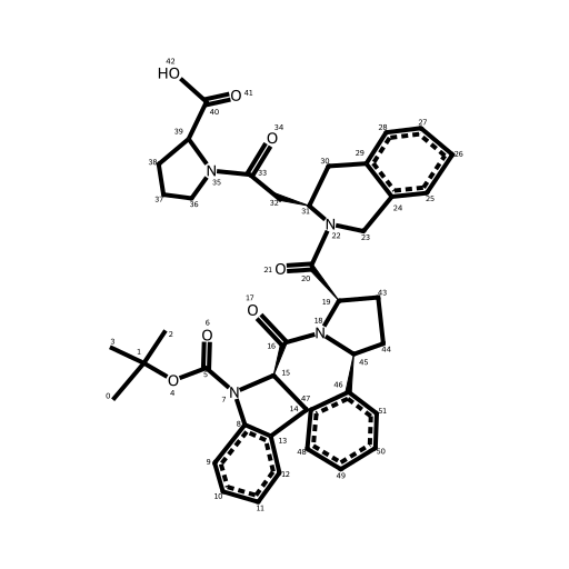 CC(C)(C)OC(=O)N1c2ccccc2C[C@@H]1C(=O)N1[C@@H](C(=O)N2Cc3ccccc3C[C@@H]2CC(=O)N2CCCC2C(=O)O)CC[C@H]1c1ccccc1